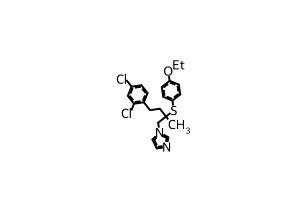 CCOc1ccc(SC(C)(CCc2ccc(Cl)cc2Cl)Cn2ccnc2)cc1